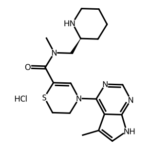 Cc1c[nH]c2ncnc(N3C=C(C(=O)N(C)C[C@@H]4CCCCN4)SCC3)c12.Cl